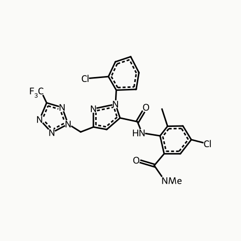 CNC(=O)c1cc(Cl)cc(C)c1NC(=O)c1cc(Cn2nnc(C(F)(F)F)n2)nn1-c1ccccc1Cl